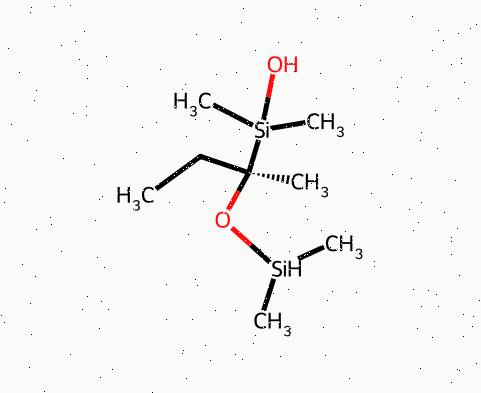 CC[C@](C)(O[SiH](C)C)[Si](C)(C)O